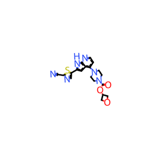 N#Cc1ncc(-c2cc3c(N4CCN(C(=O)OC5COC5)CC4)ccnc3[nH]2)s1